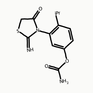 CC(C)c1ccc(OC(N)=O)cc1N1C(=N)SCC1=O